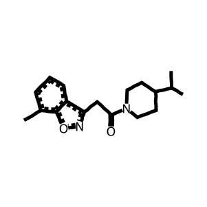 Cc1cccc2c(CC(=O)N3CCC(C(C)C)CC3)noc12